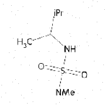 CNS(=O)(=O)NC(C)C(C)C